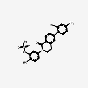 CC(C)(C)S(=O)(=O)Nc1cc(N2CCc3cc(-c4ccc(C(F)(F)F)cc4Br)ccc3C2=O)ccc1O